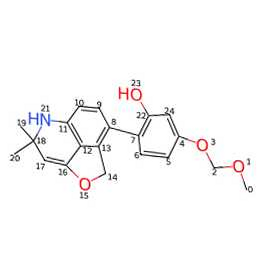 COCOc1ccc(-c2ccc3c4c2COC4=CC(C)(C)N3)c(O)c1